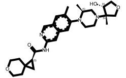 Cc1cc2cnc(NC(=O)[C@H]3CC34CCOCC4)cc2cc1N1CCN([C@@]2(C)COC[C@H]2O)C[C@@H]1C